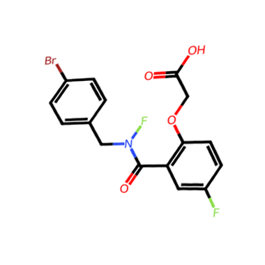 O=C(O)COc1ccc(F)cc1C(=O)N(F)Cc1ccc(Br)cc1